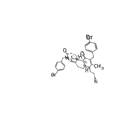 CC1=C(Cc2ccc(Br)cc2)C(=O)[C@H]2[C@@H](CCC3=CN(Cc4ccc(Br)cc4)C(=O)CC[C@@]32C)[C@@H]1CCC#N